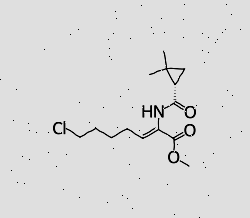 COC(=O)/C(=C/CCCCCl)NC(=O)[C@H]1CC1(C)C